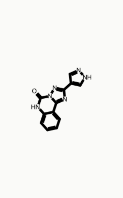 O=c1[nH]c2ccccc2c2nc(-c3cn[nH]c3)nn12